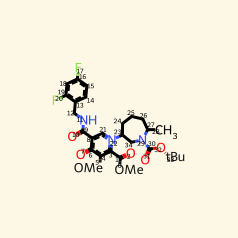 COC(=O)c1c(OC)c(=O)c(C(=O)NCc2ccc(F)cc2F)cn1C1CCCC(C)N(C(=O)OC(C)(C)C)C1